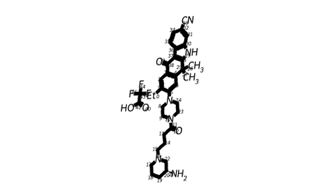 CCc1cc2c(cc1N1CCN(C(=O)CCCN3CCC[C@@H](N)C3)CC1)C(C)(C)c1[nH]c3cc(C#N)ccc3c1C2=O.O=C(O)C(F)(F)F